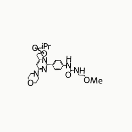 COCCNC(=O)Nc1ccc(-c2nc(CS(=O)(=O)C(C)C)cc(N3CCOCC3)n2)cc1